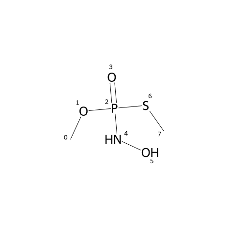 COP(=O)(NO)SC